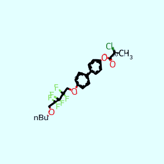 CCCCOCC(F)(F)C(F)(F)C(F)(F)COc1ccc(-c2ccc(OC(=O)[C@H](C)Cl)cc2)cc1